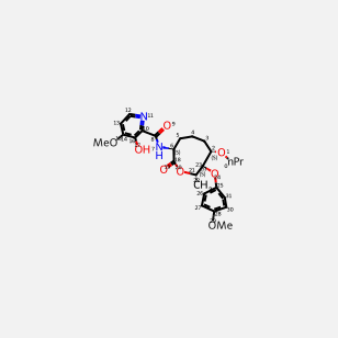 CCCO[C@H]1CCC[C@H](NC(=O)c2nccc(OC)c2O)C(=O)O[C@@H](C)[C@@H]1Oc1ccc(OC)cc1